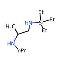 CCCNC(C)CN[Si](CC)(CC)CC